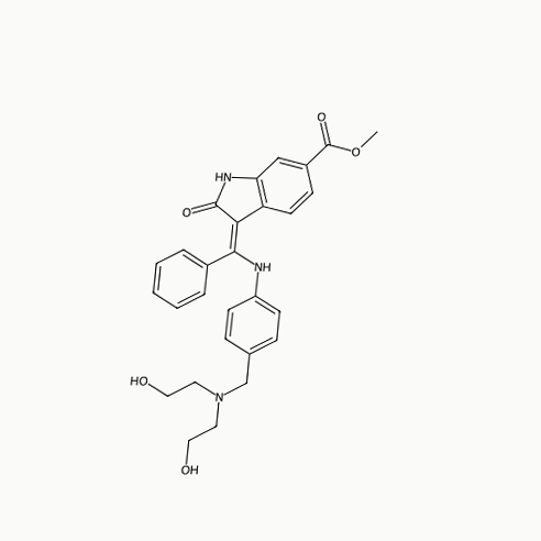 COC(=O)c1ccc2c(c1)NC(=O)C2=C(Nc1ccc(CN(CCO)CCO)cc1)c1ccccc1